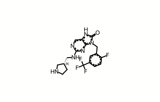 O=c1[nH]c2cnc(NC[C@@H]3CCNC3)nc2n1Cc1cc(C(F)(F)F)ccc1F